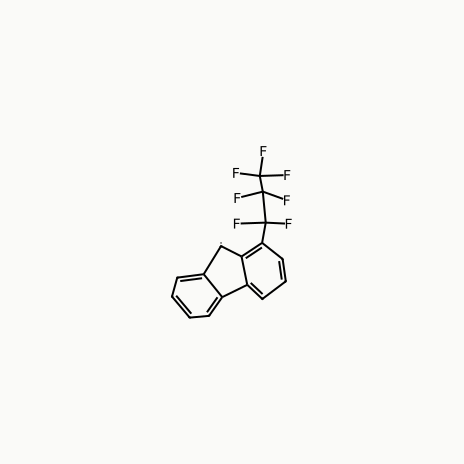 FC(F)(F)C(F)(F)C(F)(F)c1cccc2c1[CH]c1ccccc1-2